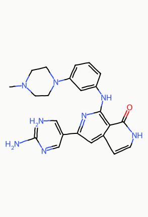 C=C(N)/N=C\C(=C/N)c1cc2cc[nH]c(=O)c2c(Nc2cccc(N3CCN(C)CC3)c2)n1